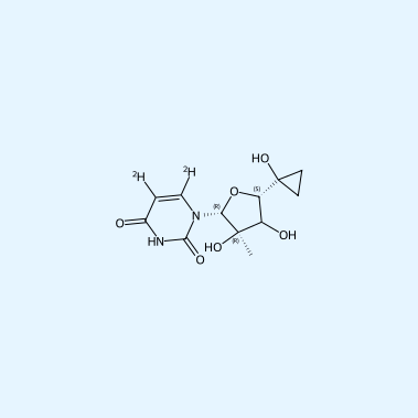 [2H]c1c([2H])n([C@@H]2O[C@H](C3(O)CC3)C(O)[C@@]2(C)O)c(=O)[nH]c1=O